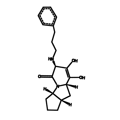 O=C1[C@@H](NCCCc2ccccc2)C(O)=C(O)[C@@H]2C[C@@H]3CCC[C@@H]3N12